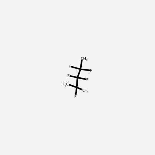 [CH2]C(F)(F)C(F)(F)C(F)(C(F)(F)F)C(F)(F)F